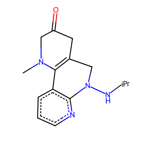 CC(C)NN1CC2=C(c3cccnc31)N(C)CC(=O)C2